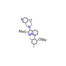 COc1cc(C)cc(C)c1-c1cccc2c(N(Cc3cccnc3)CC3CC3)c(SC)nn12